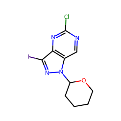 Clc1ncc2c(n1)c(I)nn2C1CCCCO1